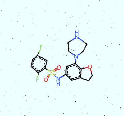 O=S(=O)(Nc1cc2c(c(N3CCNCC3)c1)OCC2)c1cc(F)ccc1F